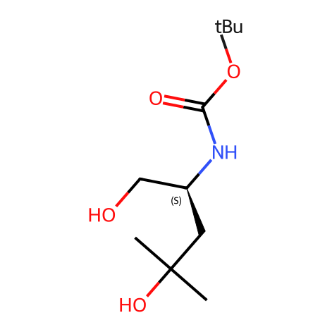 CC(C)(O)C[C@@H](CO)NC(=O)OC(C)(C)C